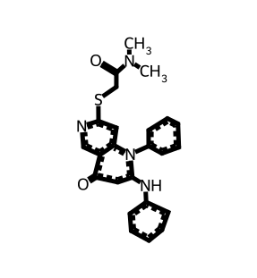 CN(C)C(=O)CSc1cc2c(cn1)c(=O)cc(Nc1ccccc1)n2-c1ccccc1